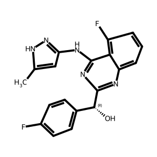 Cc1cc(Nc2nc([C@H](O)c3ccc(F)cc3)nc3cccc(F)c23)n[nH]1